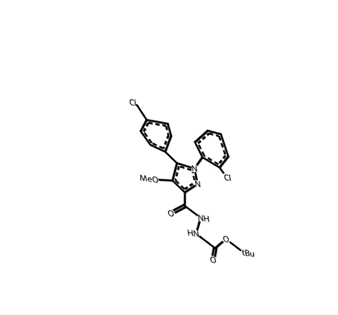 COc1c(C(=O)NNC(=O)OC(C)(C)C)nn(-c2ccccc2Cl)c1-c1ccc(Cl)cc1